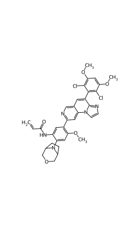 C=CC(=O)Nc1cc(-c2cc3c(cn2)cc(-c2c(Cl)c(OC)cc(OC)c2Cl)c2nccn23)c(OC)cc1N1C2CCC1COC2